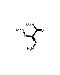 CNN/C(=N\N)C(=O)NC